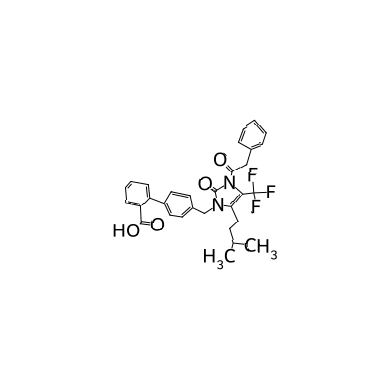 CC(C)CCc1c(C(F)(F)F)n(C(=O)Cc2ccccc2)c(=O)n1Cc1ccc(-c2ccccc2C(=O)O)cc1